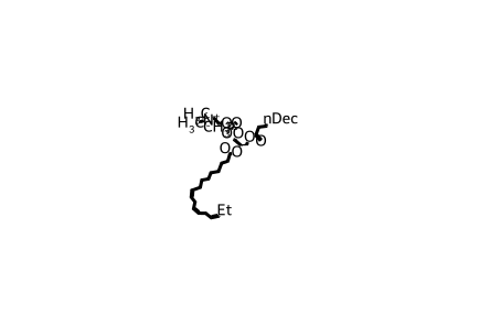 CC/C=C\C/C=C\C/C=C\CCCCCCCC(=O)O[C@H](COC(=O)CCCCCCCCCCCC)COP(=O)([O-])OCC[N+](C)(C)C